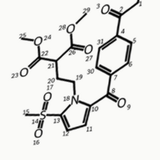 CCC(=O)c1ccc(C(=O)c2ccc(S(C)(=O)=O)n2CCC(C(=O)OC)C(=O)OC)cc1